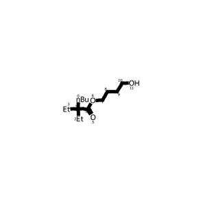 CCCCC(CC)(CC)C(=O)OCCCCO